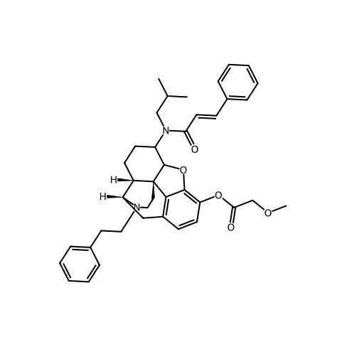 COCC(=O)Oc1ccc2c3c1OC1C(N(CC(C)C)C(=O)/C=C/c4ccccc4)CC[C@H]4[C@@H](C2)N(CCc2ccccc2)CC[C@]314